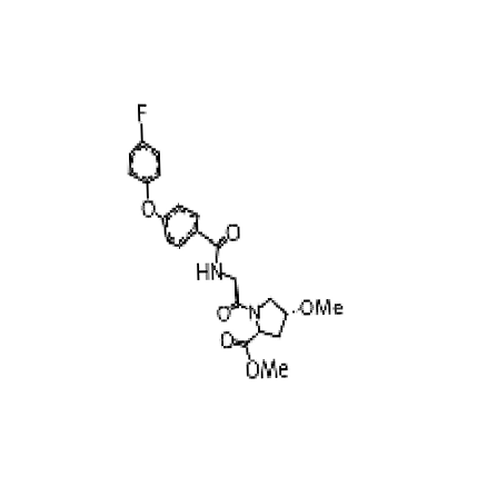 COC(=O)[C@@H]1C[C@@H](OC)CN1C(=O)CNC(=O)c1ccc(Oc2ccc(F)cc2)cc1